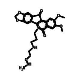 BBOCCNCCCn1c2c(c3cc(OC)c(OC)cc3c1=O)C(=O)c1cc3c(cc1-2)OCO3